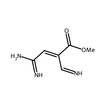 COC(=O)/C(C=N)=C/C(=N)N